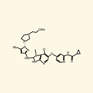 COCCN1CC[C@@H](n2nc(NC3Nc4ncc(Oc5ccnc(NC(=O)C6CC6)c5)c(Cl)c4N3C)cc2C(C)(C)C)C1